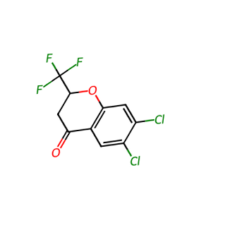 O=C1CC(C(F)(F)F)Oc2cc(Cl)c(Cl)cc21